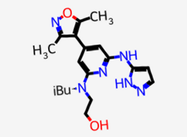 CC[C@@H](C)N(CCO)c1cc(-c2c(C)noc2C)cc(Nc2ccn[nH]2)n1